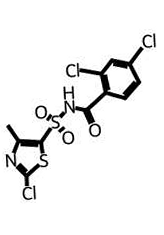 Cc1nc(Cl)sc1S(=O)(=O)NC(=O)c1ccc(Cl)cc1Cl